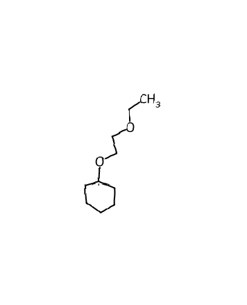 CCOCCO[C]1CCCCC1